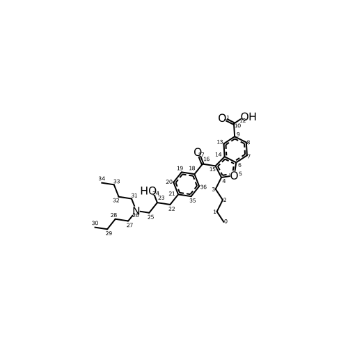 CCCCc1oc2ccc(C(=O)O)cc2c1C(=O)c1ccc(CC(O)CN(CCCC)CCCC)cc1